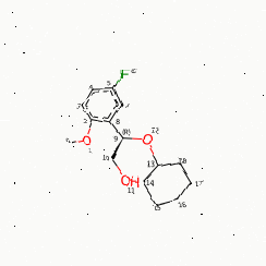 COc1ccc(F)cc1[C@H](CO)OC1CCCCC1